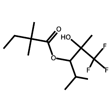 CCC(C)(C)C(=O)OC(C(C)C)C(C)(O)C(F)(F)F